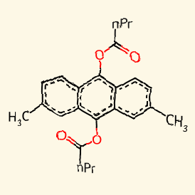 CCCC(=O)Oc1c2ccc(C)cc2c(OC(=O)CCC)c2cc(C)ccc12